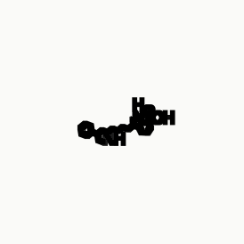 O=C(O)c1cccc2c(CCCCC3CC(c4ccccc4)=CCN3)c[nH]c12